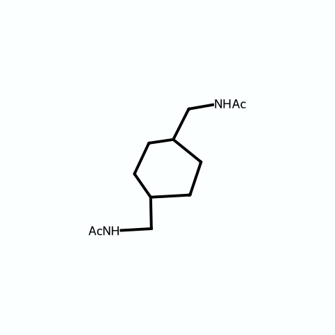 CC(=O)NCC1CCC(CNC(C)=O)CC1